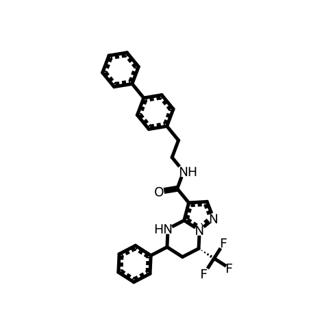 O=C(NCCc1ccc(-c2ccccc2)cc1)c1cnn2c1NC(c1ccccc1)C[C@H]2C(F)(F)F